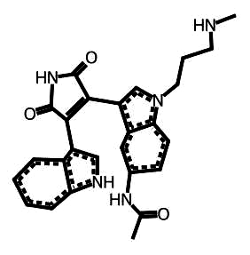 CNCCCn1cc(C2=C(c3c[nH]c4ccccc34)C(=O)NC2=O)c2cc(NC(C)=O)ccc21